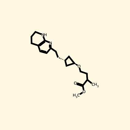 COC(=O)C(C)CCO[C@H]1C[C@H](CCc2ccc3c(n2)NCCC3)C1